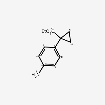 CCOC(=O)C1(c2ccc(N)cc2)CC1